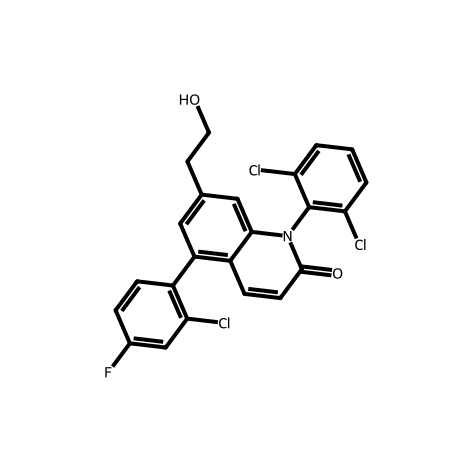 O=c1ccc2c(-c3ccc(F)cc3Cl)cc(CCO)cc2n1-c1c(Cl)cccc1Cl